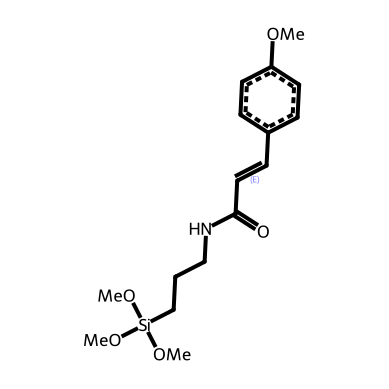 COc1ccc(/C=C/C(=O)NCCC[Si](OC)(OC)OC)cc1